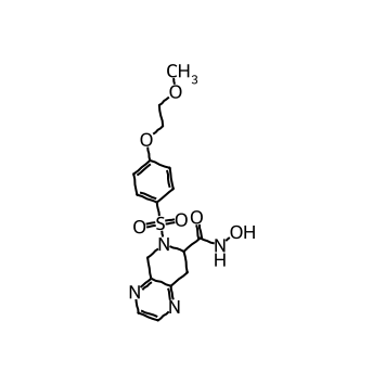 COCCOc1ccc(S(=O)(=O)N2Cc3nccnc3CC2C(=O)NO)cc1